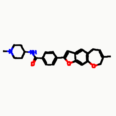 CC1=CCc2cc3cc(-c4ccc(C(=O)NC5CCN(C)CC5)cc4)oc3cc2OC1